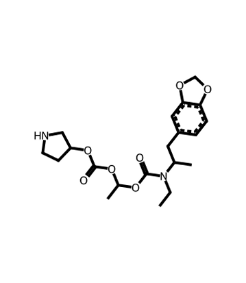 CCN(C(=O)OC(C)OC(=O)OC1CCNC1)C(C)Cc1ccc2c(c1)OCO2